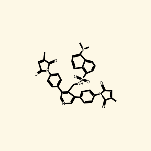 CC1=CC(=O)N(c2ccc(-c3cncc(-c4ccc(N5C(=O)C=C(C)C5=O)cc4)c3CNS(=O)(=O)c3cccc4c(N(C)C)cccc34)cc2)C1=O